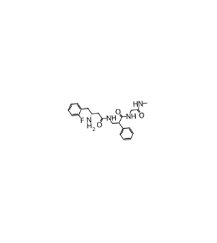 CNC(=O)CNC(=O)C(CNC(=O)C[C@H](N)Cc1ccccc1F)c1ccccc1